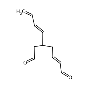 C=CC=CC(CC=O)CC=CC=O